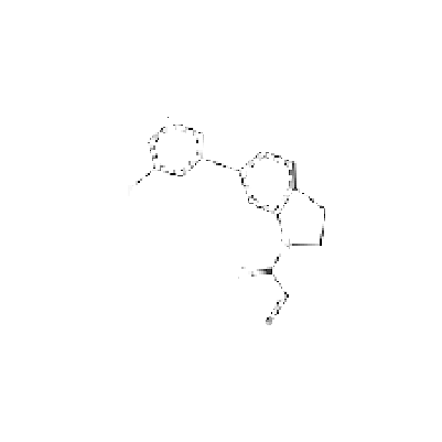 C=CC(=O)N1CCc2ccc(-c3cncc(Cl)c3)cc21